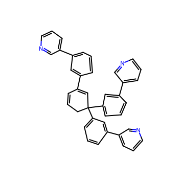 C1=CC(c2cccc(-c3cccnc3)c2)=CC(c2cccc(-c3cccnc3)c2)(c2cccc(-c3cccnc3)c2)C1